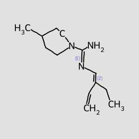 C=C/C(=C\N=C(/N)N1CCC(C)CC1)CC